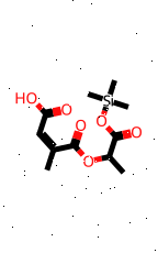 C/C(=C/C(=O)O)C(=O)OC(C)C(=O)O[Si](C)(C)C